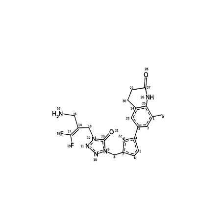 Cc1cc(-c2ccc(Cn3nnn(CC(CN)=C(F)F)c3=O)s2)cc2c1NC(=O)CC2